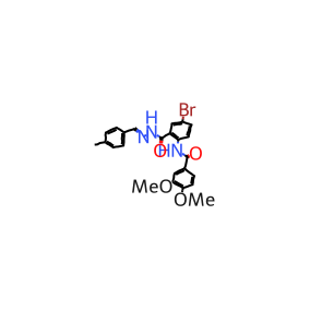 COc1ccc(C(=O)Nc2ccc(Br)cc2C(=O)NN=Cc2ccc(C)cc2)cc1OC